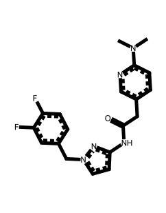 CN(C)c1ccc(CC(=O)Nc2ccn(Cc3ccc(F)c(F)c3)n2)cn1